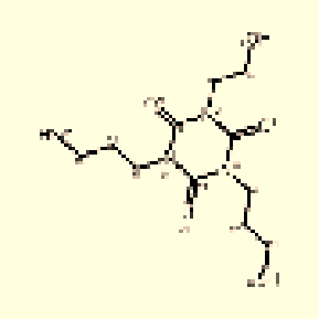 O=c1n(CCO)c(=O)n(CCCS)c(=O)n1CCCS